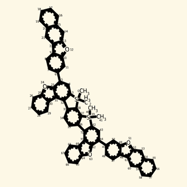 C[Si]1(C)c2cc(-c3ccc4c(c3)oc3cc5ccccc5cc34)c3oc4ccccc4c3c2-c2ccc3c(c21)[Si](C)(C)c1cc(-c2ccc4c(c2)oc2cc5ccccc5cc24)c2oc4ccccc4c2c1-3